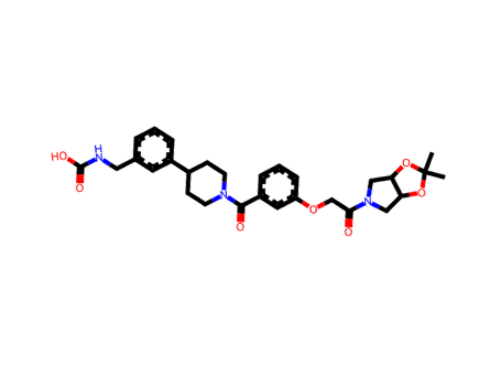 CC1(C)OC2CN(C(=O)COc3cccc(C(=O)N4CCC(c5cccc(CNC(=O)O)c5)CC4)c3)CC2O1